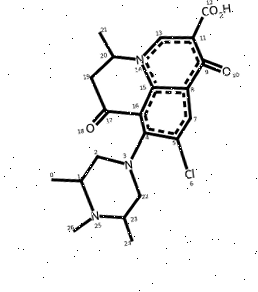 CC1CN(c2c(Cl)cc3c(=O)c(C(=O)O)cn4c3c2C(=O)CC4C)CC(C)N1C